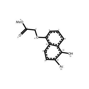 COC(=O)COc1cccc2c(O)c(C(C)=O)ccc12